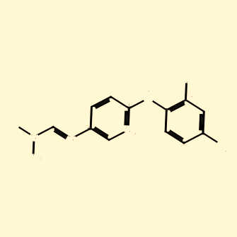 CCN(C)/C=N/c1ccc(Oc2ccc(Cl)cc2Cl)nc1